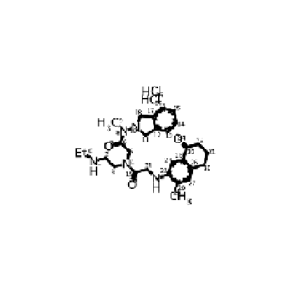 CCNCCN(CC(=O)N(C)N1Cc2ccccc2C1)C(=O)CNc1cc2c(cc1C)CCCC2=O.Cl.Cl